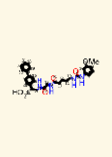 COc1cccc(NC(=O)NCCCCC(=O)NCC(=O)NCC(C(=O)O)c2ccc(-c3ccccc3)cc2)c1